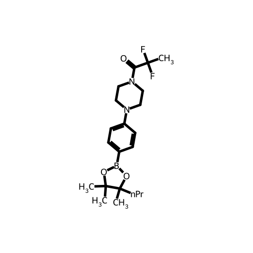 CCCC1(C)OB(c2ccc(N3CCN(C(=O)C(C)(F)F)CC3)cc2)OC1(C)C